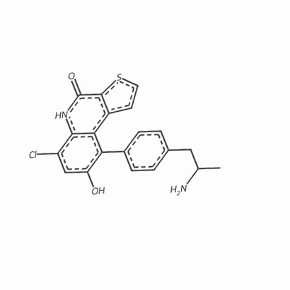 CC(N)Cc1ccc(-c2c(O)cc(Cl)c3[nH]c(=O)c4sccc4c23)cc1